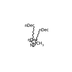 CCCCCCCCCCCCCCCCCCCC(CCCCCCCCCCC)c1nccn1C(C)CCCCCCCCCCCCCCCCC